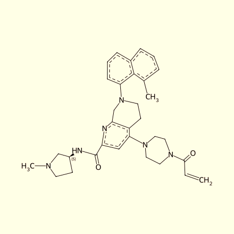 C=CC(=O)N1CCN(c2cc(C(=O)N[C@H]3CCN(C)C3)nc3c2CCN(c2cccc4cccc(C)c24)C3)CC1